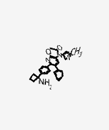 Cn1cc(N2C(=O)COc3nc(-c4ccc(C5(N)CCC5)cc4)c(-c4ccccc4)cc32)cn1